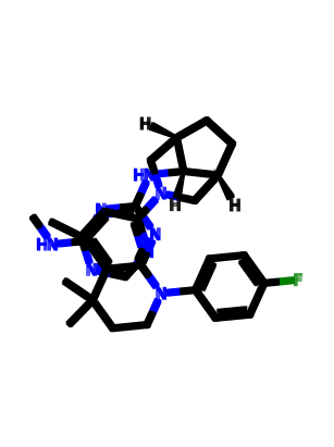 CNc1nc(N[C@H]2[C@@H]3CC[C@H]2CN(c2cc(C)ncn2)C3)nc2c1C(C)(C)CCN2c1ccc(F)cc1